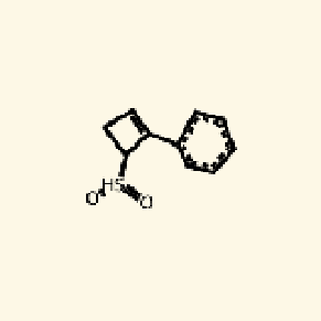 O=[SH](=O)C1CC=C1c1ccccc1